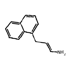 NC=CCc1cccc2ccccc12